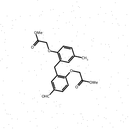 COC(=O)COc1ccc(C)cc1Cc1cc(C=O)ccc1OCC(=O)OC